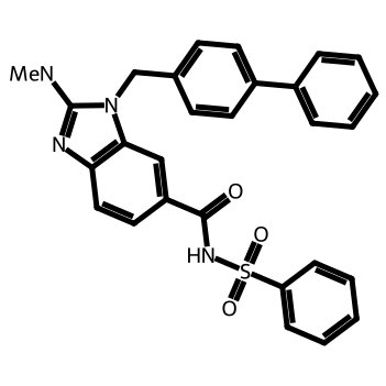 CNc1nc2ccc(C(=O)NS(=O)(=O)c3ccccc3)cc2n1Cc1ccc(-c2ccccc2)cc1